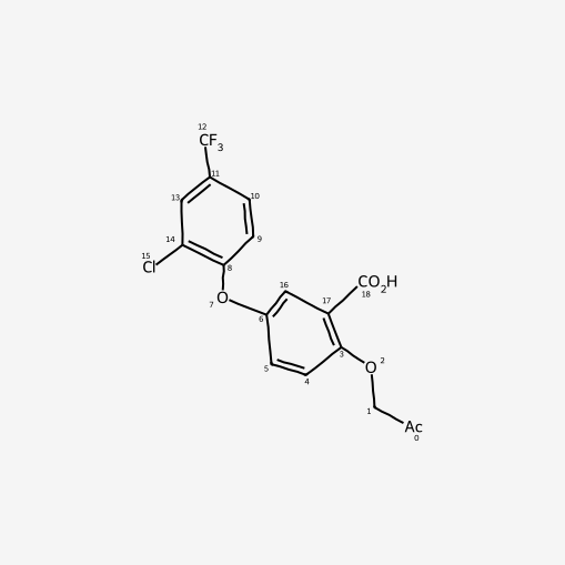 CC(=O)COc1ccc(Oc2ccc(C(F)(F)F)cc2Cl)cc1C(=O)O